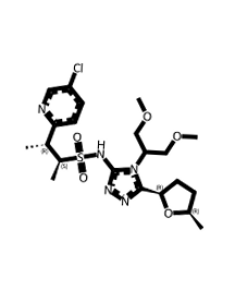 COCC(COC)n1c(NS(=O)(=O)[C@@H](C)[C@H](C)c2ccc(Cl)cn2)nnc1[C@H]1CC[C@@H](C)O1